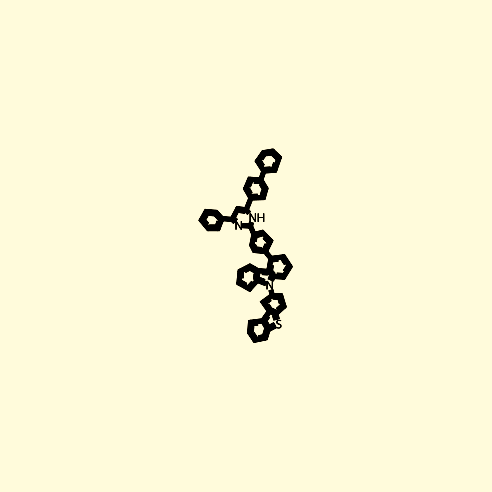 C1=C(c2ccc(-c3ccccc3)cc2)NC(c2ccc(-c3cccc4c3c3ccccc3n4-c3ccc4sc5ccccc5c4c3)cc2)N=C1c1ccccc1